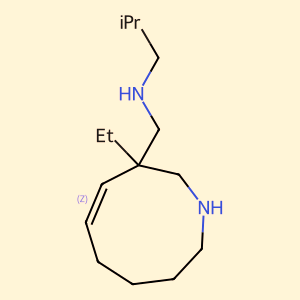 CCC1(CNCC(C)C)/C=C\CCCCNC1